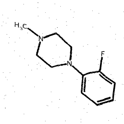 CN1CCN(c2cc[c]cc2F)CC1